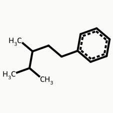 CC(C)C(C)CCc1ccccc1